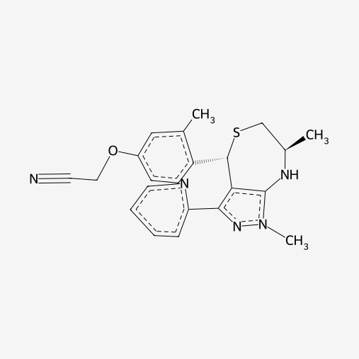 Cc1cc(OCC#N)ccc1[C@@H]1SC[C@@H](C)Nc2c1c(-c1ccccn1)nn2C